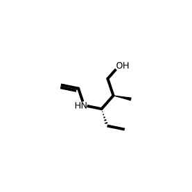 C=CN[C@@H](CC)[C@H](C)CO